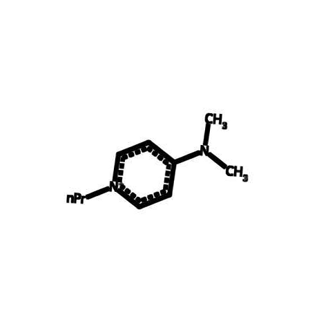 [CH2]CC[n+]1ccc(N(C)C)cc1